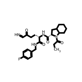 CCC(=O)N1C2CCCCC2C[C@H]1C(=O)N[C@@H](CCC(=O)C=N)C(=O)NCc1ccc(F)cc1